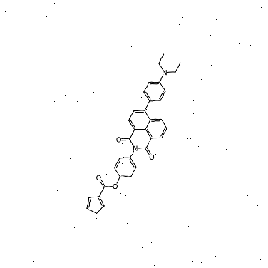 CCN(CC)c1ccc(-c2ccc3c4c(cccc24)C(=O)N(c2ccc(OC(=O)C4=CCC=C4)cc2)C3=O)cc1